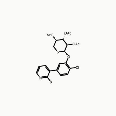 CC(=O)O[C@@H]1[C@@H](OC(C)=O)[C@@H](Oc2cc(-c3cccnc3F)ccc2Cl)SC[C@H]1OC(C)=O